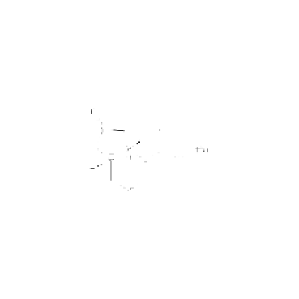 CC(C)(C)OC(=O)N1CCC[C@@H]2CC(=O)C[C@@H]21